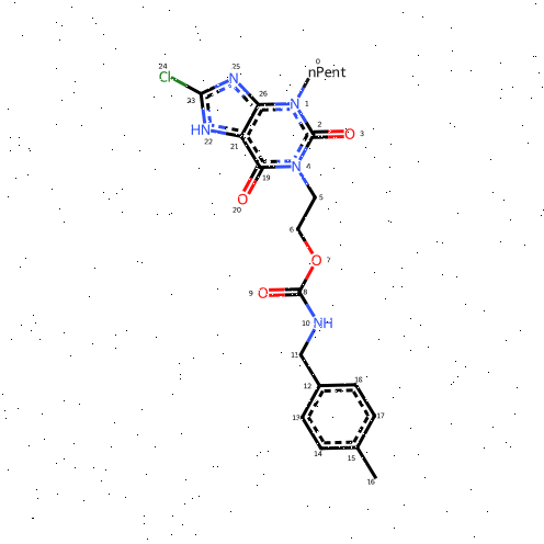 CCCCCn1c(=O)n(CCOC(=O)NCc2ccc(C)cc2)c(=O)c2[nH]c(Cl)nc21